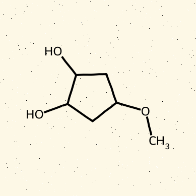 COC1CC(O)C(O)C1